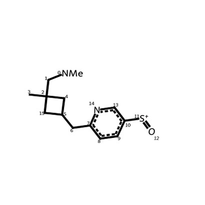 CNCC1(C)CC(Cc2ccc([S+]=O)cn2)C1